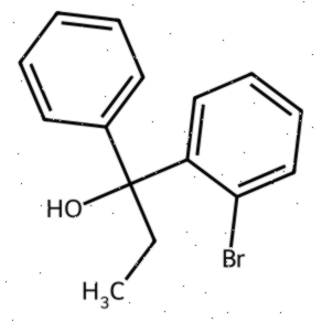 CCC(O)(c1ccccc1)c1ccccc1Br